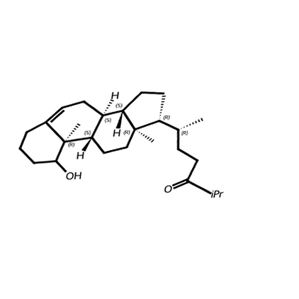 CC(C)C(=O)CC[C@@H](C)[C@H]1CC[C@H]2[C@@H]3CC=C4CCCC(O)[C@]4(C)[C@H]3CC[C@]12C